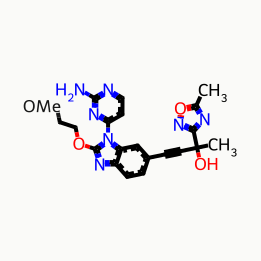 COCCOc1nc2ccc(C#CC(C)(O)c3noc(C)n3)cc2n1-c1ccnc(N)n1